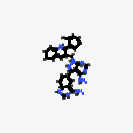 Cc1ccccc1-c1nc2ccccc2cc1Cn1nc(-c2ccc3ncnc(N)c3c2)c2c(N)ncnc21